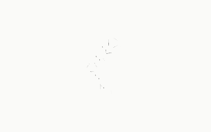 Cc1ccc(F)c2cc(C(=O)Nc3cccc(N4CCN(C(C)C)CC4)c3)[nH]c12